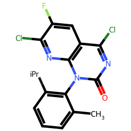 Cc1cccc(C(C)C)c1-n1c(=O)nc(Cl)c2cc(F)c(Cl)nc21